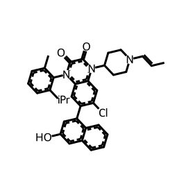 CC=CN1CCC(n2c(=O)c(=O)n(-c3c(C)cccc3C(C)C)c3cc(-c4cc(O)cc5ccccc45)c(Cl)cc32)CC1